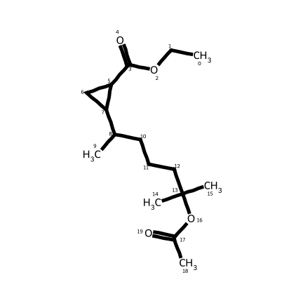 CCOC(=O)C1CC1C(C)CCCC(C)(C)OC(C)=O